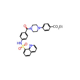 CCOC(=O)c1ccc(N2CCN(C(=O)c3ccc(NS(=O)(=O)c4cccc5cccnc45)cc3)CC2)cc1